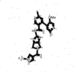 COc1cnc(Cl)cc1-c1cc(C)ncc1C(=O)Nc1nc2c(s1)CN(C(=O)c1cnn(C(F)(F)F)c1)C2